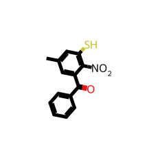 Cc1cc(S)c([N+](=O)[O-])c(C(=O)c2ccccc2)c1